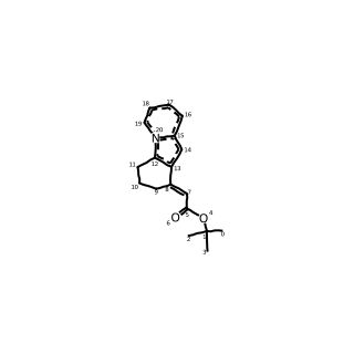 CC(C)(C)OC(=O)C=C1CCCc2c1cc1ccccn21